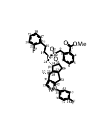 COC(=O)c1ccccc1CS(=O)(=O)N(CCc1ccccc1F)C[C@@H]1CCC2=C1[C@@H](C)c1cnn(-c3ccc(F)cc3)c1C2